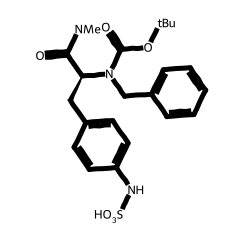 CNC(=O)[C@H](Cc1ccc(NS(=O)(=O)O)cc1)N(Cc1ccccc1)C(=O)OC(C)(C)C